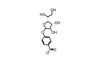 O=[N+]([O-])c1ccc(O[C@H]2O[C@H](C(O)CO)[C@H](O)[C@H]2O)cc1